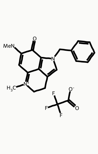 CNC1=CC2=[N+](C)CCc3cn(Cc4ccccc4)c(c32)C1=O.O=C([O-])C(F)(F)F